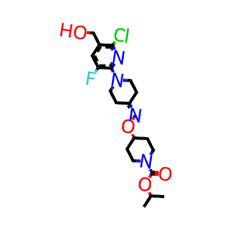 CC(C)OC(=O)N1CCC(ON=C2CCN(c3nc(Cl)c(CO)cc3F)CC2)CC1